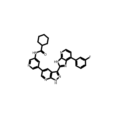 O=C(Nc1cncc(-c2cnc3[nH]nc(-c4nc5c(-c6cccc(F)c6)ccnc5[nH]4)c3c2)c1)C1CCCCC1